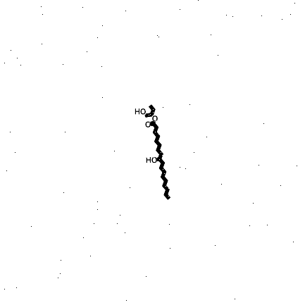 CCCCCCCCCC(O)CCCCCCCC(=O)OC(CC)CO